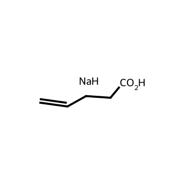 C=CCCC(=O)O.[NaH]